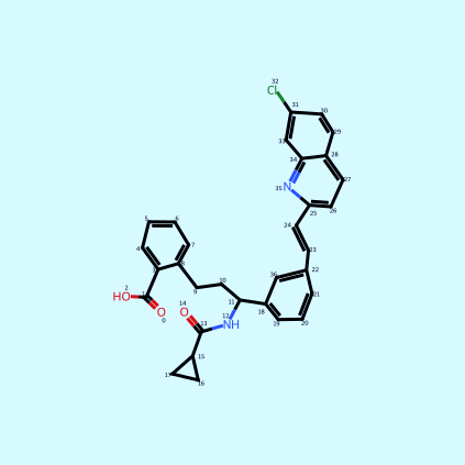 O=C(O)c1ccccc1CCC(NC(=O)C1CC1)c1cccc(/C=C/c2ccc3ccc(Cl)cc3n2)c1